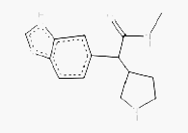 CNC(=O)C(c1ccc2nc[nH]c2c1)C1CCNC1